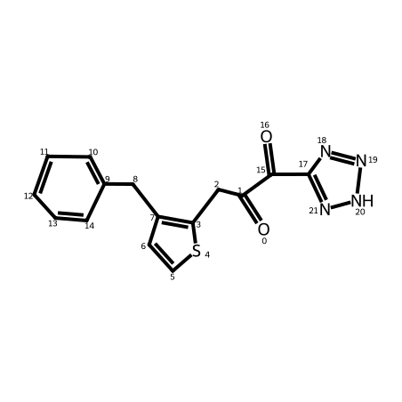 O=C(Cc1sccc1Cc1ccccc1)C(=O)c1nn[nH]n1